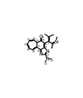 C/N=C(/C)C(=C(C)C)C1=C2N=C(N(C)C)N=C2C2=CC=CC=CC2C1=O